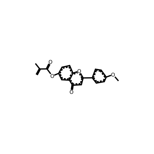 C=C(C)C(=O)Oc1ccc2oc(-c3ccc(OC)cc3)cc(=O)c2c1